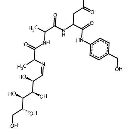 CC(/N=C\[C@H](O)[C@@H](O)[C@H](O)[C@H](O)CO)C(=O)NC(C)C(=O)NC(CC(N)=O)C(=O)Nc1ccc(CO)cc1